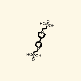 O=P(O)(O)CCN1C=CC(C2=CCN(CCP(=O)(O)O)C=C2)=CC1